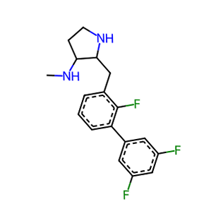 CNC1CCNC1Cc1cccc(-c2cc(F)cc(F)c2)c1F